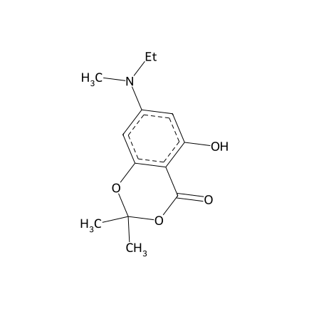 CCN(C)c1cc(O)c2c(c1)OC(C)(C)OC2=O